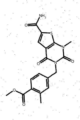 COC(=O)c1ccc(Cn2c(=O)c3cc(C(N)=O)sc3n(C)c2=O)cc1C